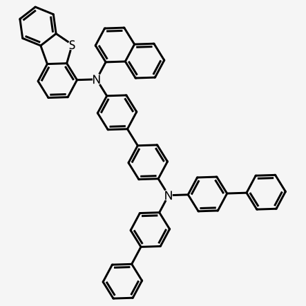 c1ccc(-c2ccc(N(c3ccc(-c4ccccc4)cc3)c3ccc(-c4ccc(N(c5cccc6ccccc56)c5cccc6c5sc5ccccc56)cc4)cc3)cc2)cc1